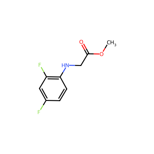 COC(=O)CNc1ccc(F)cc1F